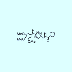 COc1cc(Nc2ncc(C(C)NC(=O)c3ccccc3)nn2)cc(OC)c1OC